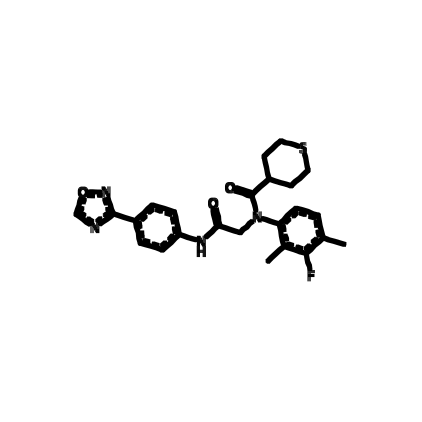 Cc1ccc(N(CC(=O)Nc2ccc(-c3ncon3)cc2)C(=O)C2CCSCC2)c(C)c1F